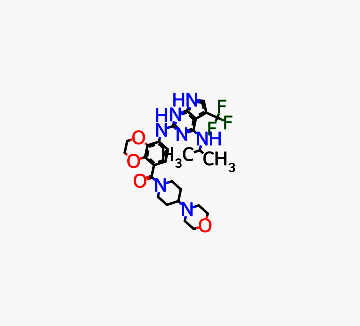 CC(C)Nc1nc(Nc2ccc(C(=O)N3CCC(N4CCOCC4)CC3)c3c2OCCO3)nc2[nH]cc(C(F)(F)F)c12